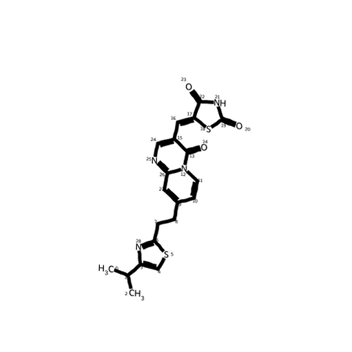 CC(C)c1csc(CCc2ccn3c(=O)c(C=C4SC(=O)NC4=O)cnc3c2)n1